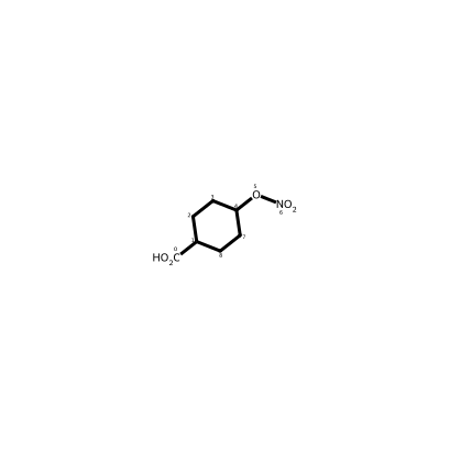 O=C(O)C1CCC(O[N+](=O)[O-])CC1